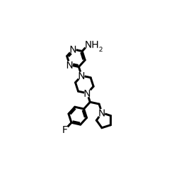 Nc1cc(N2CCN(C(CN3CCCC3)c3ccc(F)cc3)CC2)ncn1